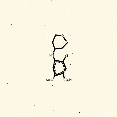 COc1cc(NC2CCOCC2)c(Cl)cc1C(=O)O